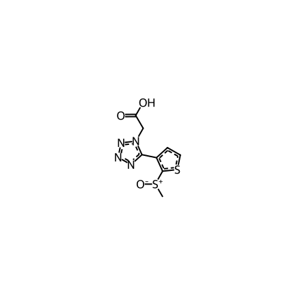 C[S+]([O-])c1sccc1-c1nnnn1CC(=O)O